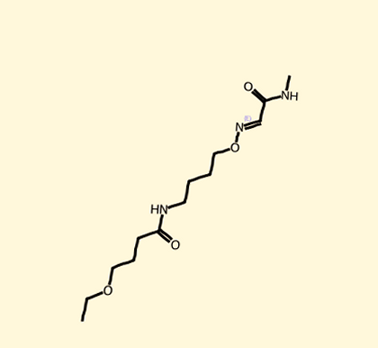 CCOCCCC(=O)NCCCCO/N=C/C(=O)NC